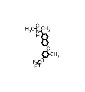 CC(=O)NC(C)c1ccc2cc(Oc3ccc(OCC(F)(F)F)cc3C)ccc2c1